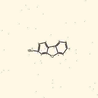 CC(C)(C)c1ccc2c(c1)oc1ccccc12